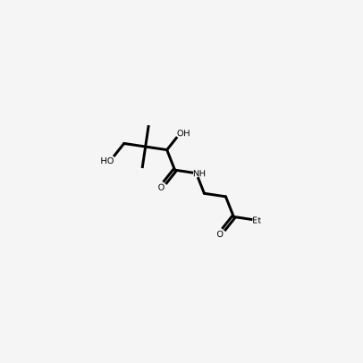 CCC(=O)CCNC(=O)C(O)C(C)(C)CO